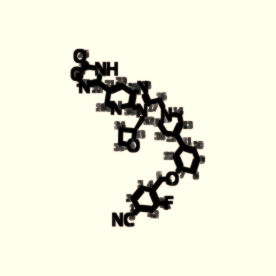 N#Cc1ccc(COc2cccc(C3=CCN(Cc4nc5cc(-c6noc(=O)[nH]6)cnc5n4C[C@@H]4CCO4)CC3)c2)c(F)c1